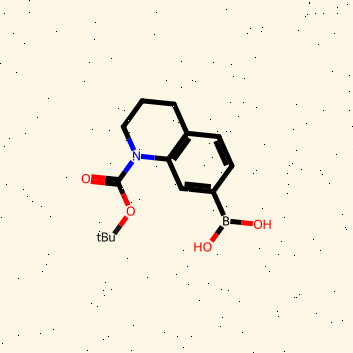 CC(C)(C)OC(=O)N1CCCc2ccc(B(O)O)cc21